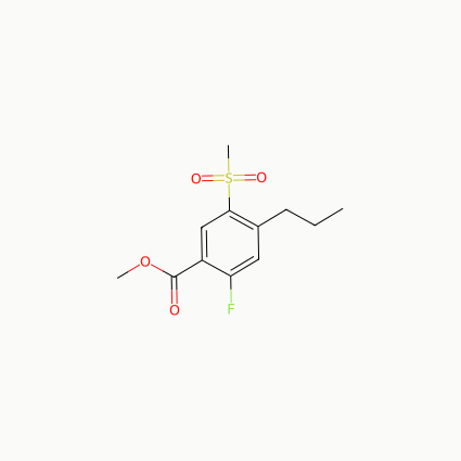 CCCc1cc(F)c(C(=O)OC)cc1S(C)(=O)=O